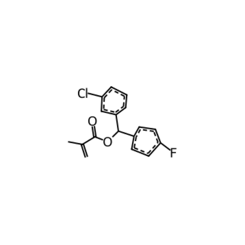 C=C(C)C(=O)OC(c1ccc(F)cc1)c1cccc(Cl)c1